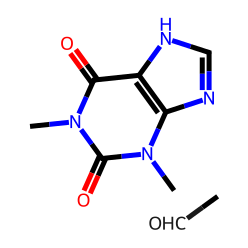 CC=O.Cn1c(=O)c2[nH]cnc2n(C)c1=O